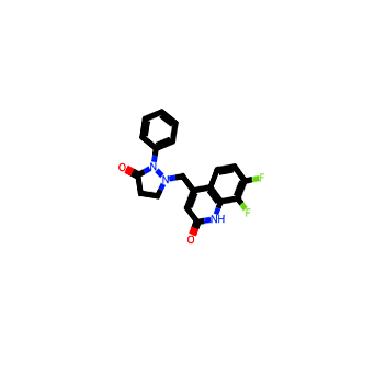 O=C1CCN(Cc2cc(=O)[nH]c3c(F)c(F)ccc23)N1c1ccccc1